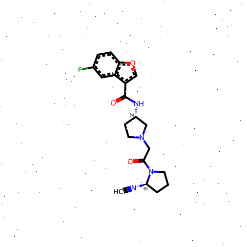 C#[N+][C@@H]1CCCN1C(=O)CN1CC[C@H](NC(=O)c2coc3ccc(F)cc23)C1